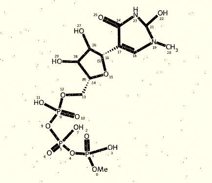 COP(=O)(O)OP(=O)(O)OP(=O)(O)OC[C@H]1O[C@@H](C2=CN(C)C(O)NC2=O)C(O)C1O